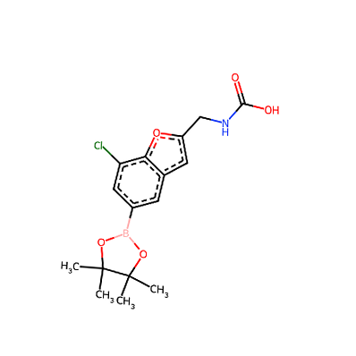 CC1(C)OB(c2cc(Cl)c3oc(CNC(=O)O)cc3c2)OC1(C)C